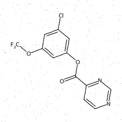 O=C(Oc1cc(Cl)cc(OC(F)(F)F)c1)c1ccncn1